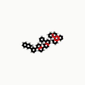 c1ccc(-c2ccccc2-c2cccc(N(c3cccc(-c4ccccc4N(c4ccc(-c5cccc6c5sc5cc7ccccc7cc56)cc4)c4ccccc4-c4ccccc4)c3)c3ccccc3-c3ccccc3)c2)cc1